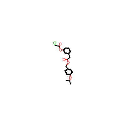 CC(C)Oc1ccc(COC(=O)Cc2cccc(OC(=O)CCl)c2)cc1